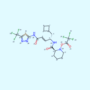 O=C(/C=C/[C@H](CC1CCC1)NC(=O)[C@@H]1CCCCN1OC(=O)C(F)(F)F)Nc1nnc(C(F)(F)F)s1